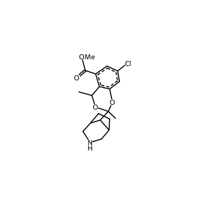 COC(=O)c1cc(Cl)cc2c1C(C)OC(C)(C1C3CCC1CNC3)O2